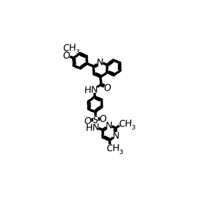 COc1ccc(-c2cc(C(=O)Nc3ccc(S(=O)(=O)Nc4cc(C)nc(C)n4)cc3)c3ccccc3n2)cc1